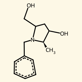 C[C@@H]1C(O)CC(CO)N1Cc1ccccc1